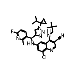 Cc1nc(F)ccc1C(Nc1cc(Cl)c2ncc(C#N)c(NCC(C)(C)C)c2c1)c1cn(C2(C(C)C)CC2)nn1